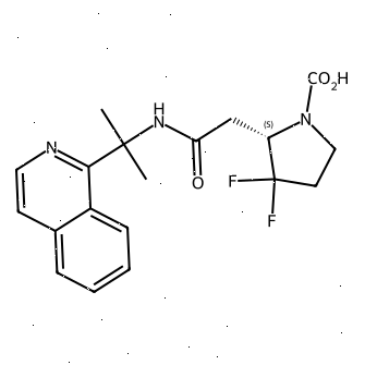 CC(C)(NC(=O)C[C@@H]1N(C(=O)O)CCC1(F)F)c1nccc2ccccc12